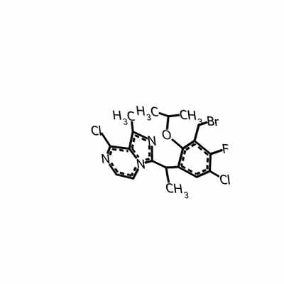 Cc1nc(C(C)c2cc(Cl)c(F)c(CBr)c2OC(C)C)n2ccnc(Cl)c12